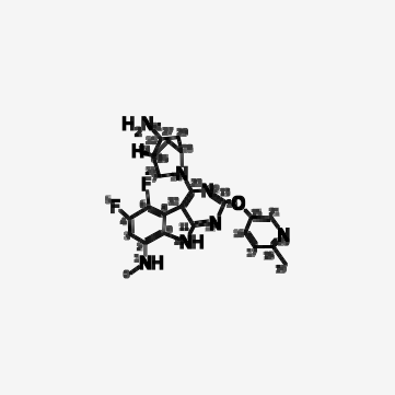 CNc1cc(F)c(F)c2c1[nH]c1nc(Oc3ccc(C)nc3)nc(N3C[C@H]4CC3CC4N)c12